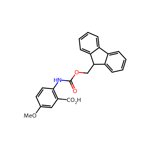 COc1ccc(NC(=O)OCC2c3ccccc3-c3ccccc32)c(C(=O)O)c1